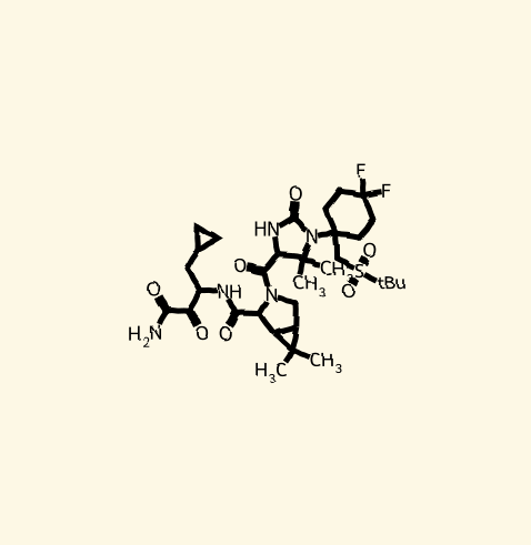 CC1(C)C2CN(C(=O)C3NC(=O)N(C4(CS(=O)(=O)C(C)(C)C)CCC(F)(F)CC4)C3(C)C)C(C(=O)NC(CC3CC3)C(=O)C(N)=O)C21